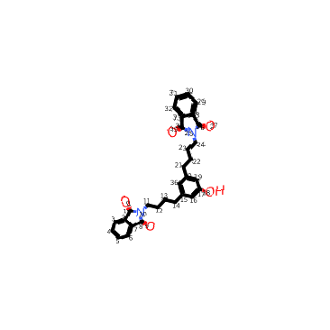 O=C1c2ccccc2C(=O)N1CCCCc1cc(O)cc(CCCCN2C(=O)c3ccccc3C2=O)c1